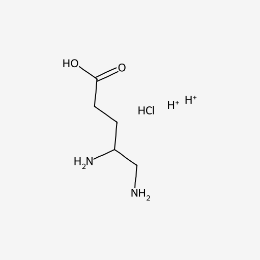 Cl.NCC(N)CCC(=O)O.[H+].[H+]